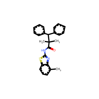 Cc1cccc2sc(NC(=O)C(C)(C)C(c3ccccc3)c3ccccc3)nc12